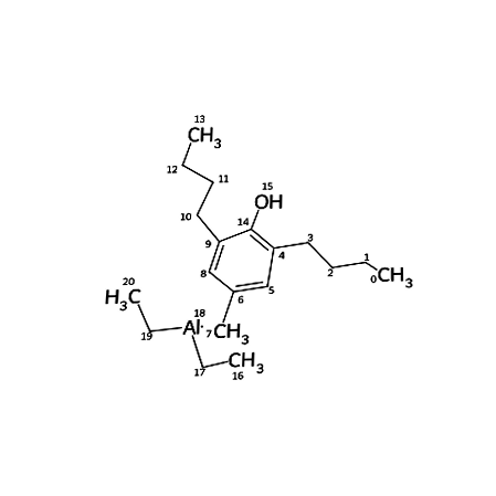 CCCCc1cc(C)cc(CCCC)c1O.C[CH2][Al][CH2]C